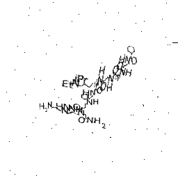 CCN(CCCC[C@H](NC(=O)CNC(=O)[C@H](C)NC(=O)CNC(=O)C1CCCCC1)C(=O)NCC(=O)NCCC(=O)N(CC(N)=O)CC1=CN(CCCN)NN1)C(C)C